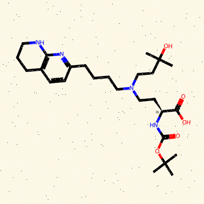 CC(C)(O)CCN(CCCCc1ccc2c(n1)NCCC2)CC[C@H](NC(=O)OC(C)(C)C)C(=O)O